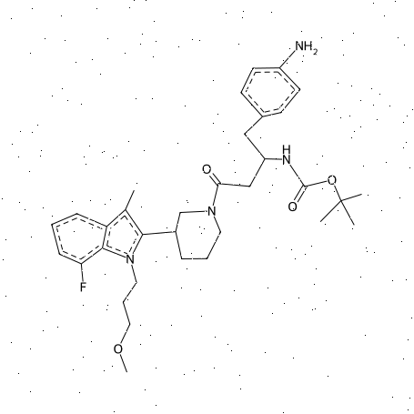 COCCCn1c(C2CCCN(C(=O)CC(Cc3ccc(N)cc3)NC(=O)OC(C)(C)C)C2)c(C)c2cccc(F)c21